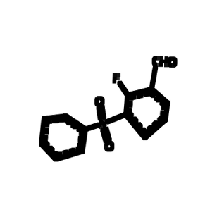 O=Cc1cccc(S(=O)(=O)c2ccccc2)c1F